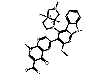 CNc1nc2[nH]c3ccccc3c2c(N2CC[C@@H]3CN(C)C[C@@H]32)c1-c1cnc2c(c1)c(=O)c(C(=O)O)cn2C